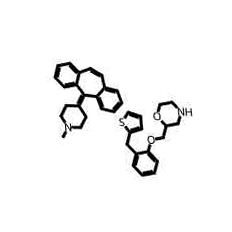 CN1CCC(=C2c3ccccc3C=Cc3ccccc32)CC1.c1csc(Cc2ccccc2OCC2CNCCO2)c1